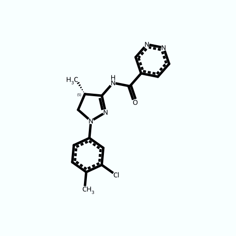 Cc1ccc(N2C[C@H](C)C(NC(=O)c3ccnnc3)=N2)cc1Cl